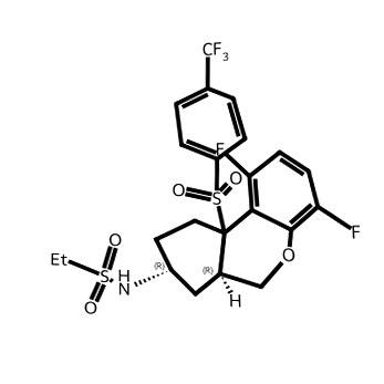 CCS(=O)(=O)N[C@@H]1CCC2(S(=O)(=O)c3ccc(C(F)(F)F)cc3)c3c(F)ccc(F)c3OC[C@H]2C1